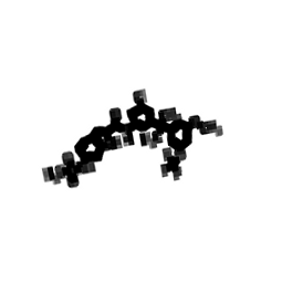 COc1cc(OC(F)(F)F)cc(C(C)(C)c2cc(Cl)cc(NC(=O)c3cc4ccc(NS(C)(=O)=O)cc4[nH]3)c2)c1